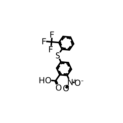 O=C(O)c1cc(Sc2ccccc2C(F)(F)F)ccc1[N+](=O)[O-]